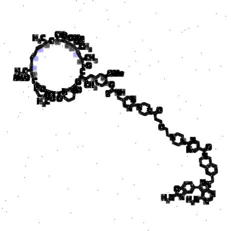 CO[C@H]1C[C@@H]2CC[C@@H](C)[C@@](O)(O2)C(=O)C(=O)N2CCCC[C@H]2C(=O)O[C@H]([C@H](C)C[C@@H]2CC[C@@H](OC(=S)NCc3cnc(N4CCN(C(=O)CCOCCN5CCN(c6ncc(C(=O)N7CCc8cc(Cn9nc(-c%10ccc%11oc(N)nc%11c%10)c%10c(N)ncnc%109)ccc8C7)cn6)CC5)CC4)nc3)[C@H](OC)C2)CC(=O)[C@H](C)/C=C(\C)[C@@H](O)[C@@H](OC)C(=O)[C@H](C)C[C@H](C)/C=C/C=C/C=C/1C